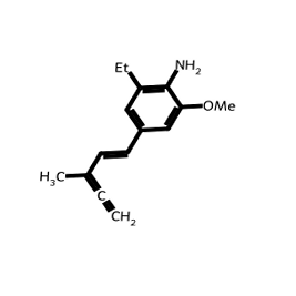 C=C=C(C)/C=C/c1cc(CC)c(N)c(OC)c1